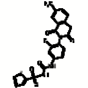 O=C(Nc1ccc(N2C(=O)Cc3ccc(C(F)(F)F)cc3C2=O)c(F)c1)NS(=O)(=O)c1cccs1